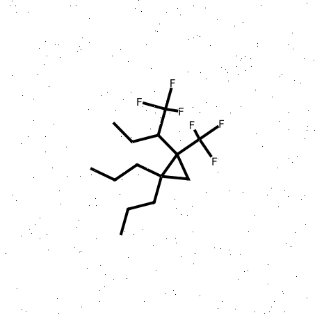 CCCC1(CCC)CC1(C(CC)C(F)(F)F)C(F)(F)F